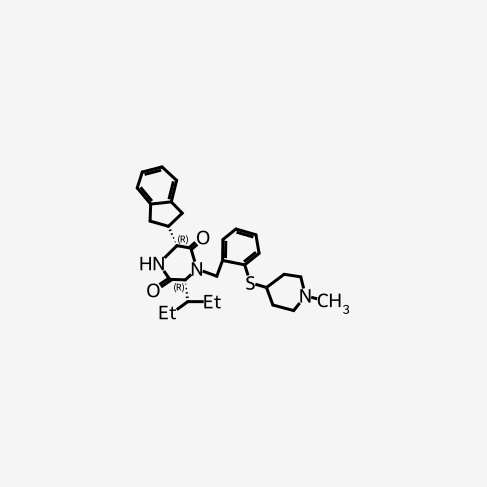 CCC(CC)[C@@H]1C(=O)N[C@H](C2Cc3ccccc3C2)C(=O)N1Cc1ccccc1SC1CCN(C)CC1